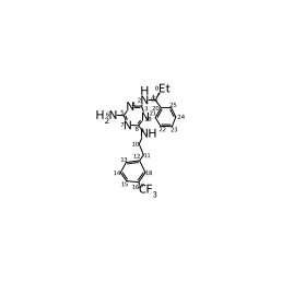 CC[C@H](Nc1nc(N)nc(NCCc2cccc(C(F)(F)F)c2)n1)c1ccccc1